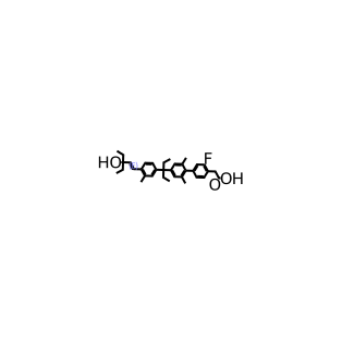 CCC(O)(/C=C/c1ccc(C(CC)(CC)c2cc(C)c(-c3ccc(CC(=O)O)c(F)c3)c(C)c2)cc1C)CC